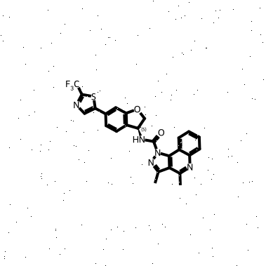 Cc1nc2ccccc2c2c1c(C)nn2C(=O)N[C@@H]1COc2cc(-c3cnc(C(F)(F)F)s3)ccc21